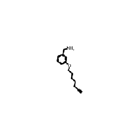 C#CCCCCCOc1cccc(CN)c1